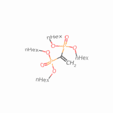 C=C(P(=O)(OCCCCCC)OCCCCCC)P(=O)(OCCCCCC)OCCCCCC